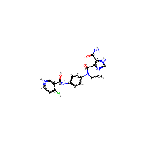 CCN(C(=O)c1nc[nH]c1C(N)=O)c1ccc(NC(=O)c2cnccc2Cl)cc1